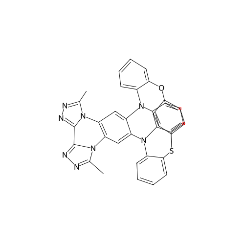 Cc1nnc2c3nnc(C)n3c3cc(N4c5ccccc5Sc5ccccc54)c(N4c5ccccc5Oc5ccccc54)cc3n12